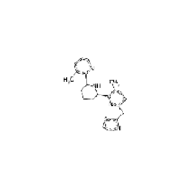 Cc1cccnc1[C@@H]1CCC[C@H](c2nc(Cc3nccs3)ccc2C)N1